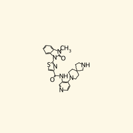 Cn1c(=O)n(-c2nc(C(=O)Nc3cnccc3N3CCC4(CCNC4)CC3)cs2)c2ccccc21